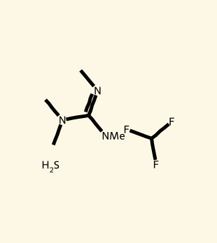 CN=C(NC)N(C)C.FC(F)F.S